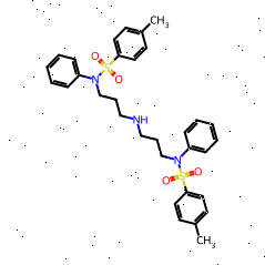 Cc1ccc(S(=O)(=O)N(CCCNCCCN(c2ccccc2)S(=O)(=O)c2ccc(C)cc2)c2ccccc2)cc1